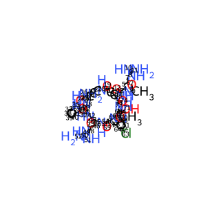 CC(=O)N[C@@H](CCCNC(=N)N)C(=O)N[C@H]1CCC(=O)NCCC[C@@H](C(N)=O)NC(=O)[C@H](Cc2c[nH]c3ccccc23)NC(=O)[C@H](CCCNC(=N)N)NC(=O)[C@@H](Cc2cccc(Cl)c2)NC(=O)C([C@@H](C)O)NC1=O